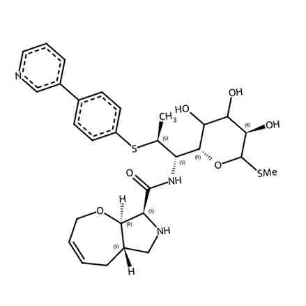 CSC1O[C@H]([C@H](NC(=O)[C@H]2NC[C@@H]3CC=CCO[C@H]32)[C@H](C)Sc2ccc(-c3cccnc3)cc2)C(O)C(O)[C@H]1O